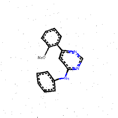 COc1ccccc1-c1cc(Nc2ccccc2)ncn1